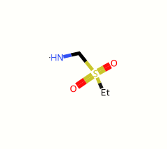 CCS(=O)(=O)C[NH]